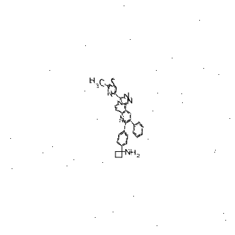 Cc1nc(-c2nnc3c4cc(-c5ccccc5)c(-c5ccc(C6(N)CCC6)cc5)nc4ccn23)cs1